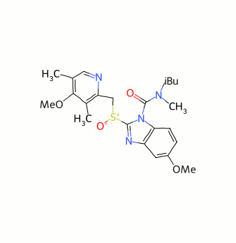 [CH2]C(CC)N(C)C(=O)n1c([S+]([O-])Cc2ncc(C)c(OC)c2C)nc2cc(OC)ccc21